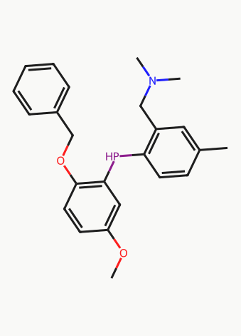 COc1ccc(OCc2ccccc2)c(Pc2ccc(C)cc2CN(C)C)c1